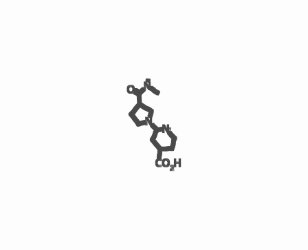 CN(C)C(=O)C1CCN(C2CC(C(=O)O)CC[N]2)C1